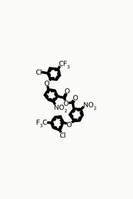 O=C(OC(=O)c1cc(Oc2ccc(C(F)(F)F)cc2Cl)ccc1[N+](=O)[O-])c1cc(Oc2ccc(C(F)(F)F)cc2Cl)ccc1[N+](=O)[O-]